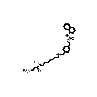 O=C(O)/C=C/C(=O)N(O)CCCCCCCNCc1ccc(COC(=O)Nc2cccc3ccccc23)cc1